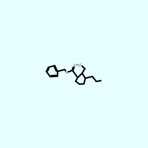 CCC1C(CCI)CCCC1C(=O)OCc1ccccc1